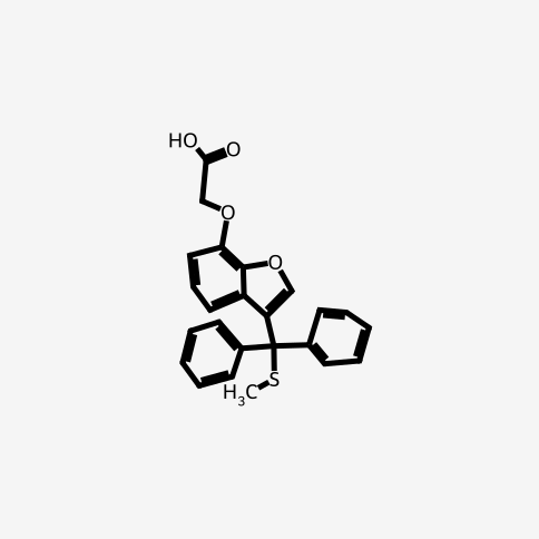 CSC(c1ccccc1)(c1ccccc1)c1coc2c(OCC(=O)O)cccc12